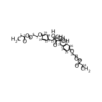 C=CC(=O)OOCCOc1ccc(CC(C)(O)C(=O)C(C)(O)Cc2ccc(OCCOOC(=O)C=C)cc2)cc1